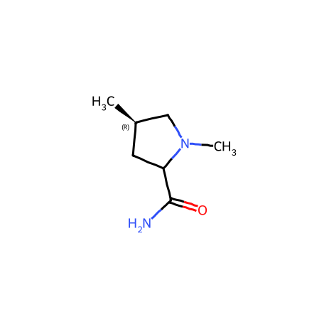 C[C@@H]1CC(C(N)=O)N(C)C1